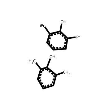 CC(C)c1cccc(C(C)C)c1O.Cc1cccc(C)c1O